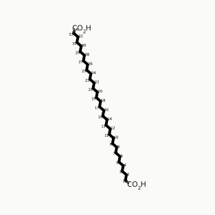 O=C(O)CCCCCCCCCCCCCCCCCCCCCCCCCCCCCCCCCC(=O)O